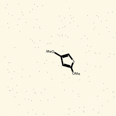 COc1[c]c(OC)sc1